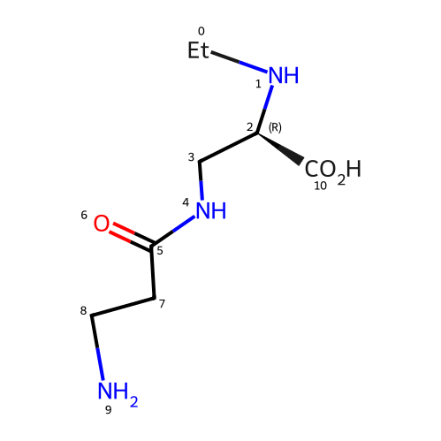 CCN[C@H](CNC(=O)CCN)C(=O)O